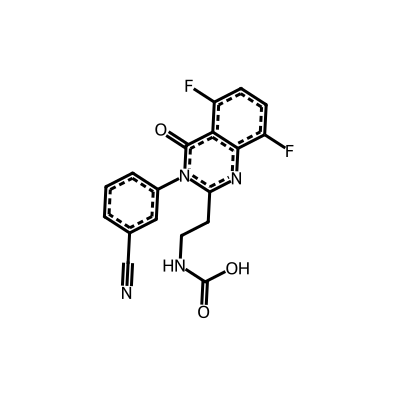 N#Cc1cccc(-n2c(CCNC(=O)O)nc3c(F)ccc(F)c3c2=O)c1